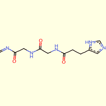 C=NC(=O)CNC(=O)CNC(=O)CCc1cnc[nH]1